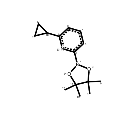 CC1(C)OB(c2cccc(C3CC3)n2)OC1(C)C